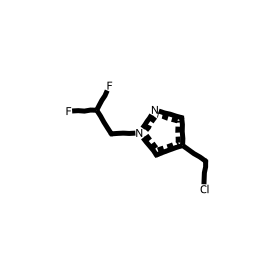 FC(F)Cn1cc(CCl)cn1